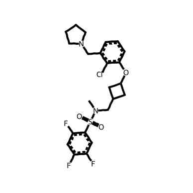 CN(CC1CC(Oc2cccc(CN3CCCC3)c2Cl)C1)S(=O)(=O)c1cc(F)c(F)cc1F